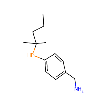 CCCC(C)(C)Pc1ccc(CN)cc1